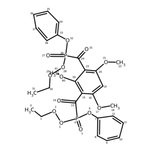 CCOOP(=O)(Oc1ccccc1)C(=O)c1c(OC)cc(OC)c(C(=O)P(=O)(OOCC)Oc2ccccc2)c1OC